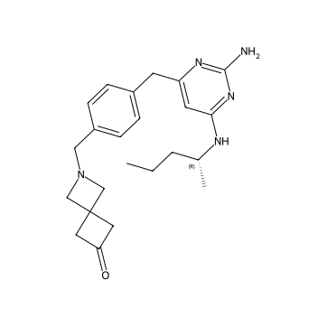 CCC[C@@H](C)Nc1cc(Cc2ccc(CN3CC4(CC(=O)C4)C3)cc2)nc(N)n1